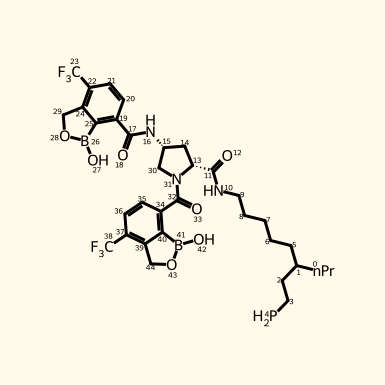 CCCC(CCP)CCCCCNC(=O)[C@H]1C[C@@H](NC(=O)c2ccc(C(F)(F)F)c3c2B(O)OC3)CN1C(=O)c1ccc(C(F)(F)F)c2c1B(O)OC2